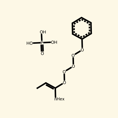 CC=C(CCCCCC)OOOOOc1ccccc1.O=P(O)(O)O